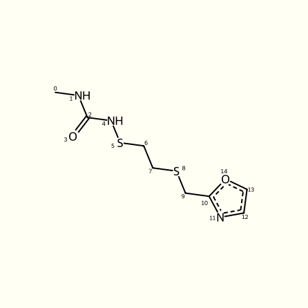 CNC(=O)NSCCSCc1ncco1